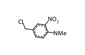 CNc1ccc(CCl)cc1[N+](=O)[O-]